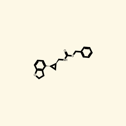 O=C(NC[C@H]1C[C@@H]1c1cccc2c1CCO2)OCc1ccccc1